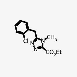 CCOC(=O)c1nnc(Cc2ccccc2Cl)n1C